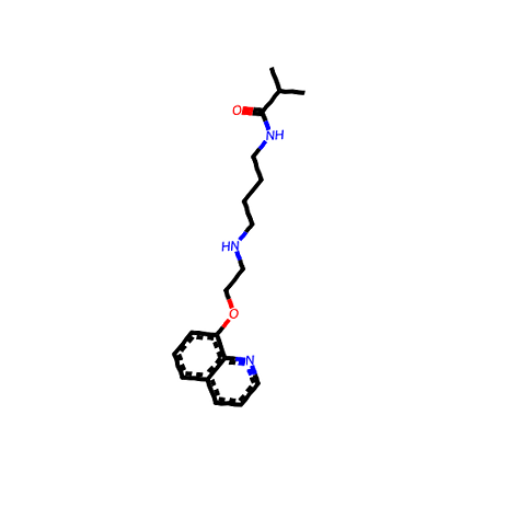 CC(C)C(=O)NCCCCNCCOc1cccc2cccnc12